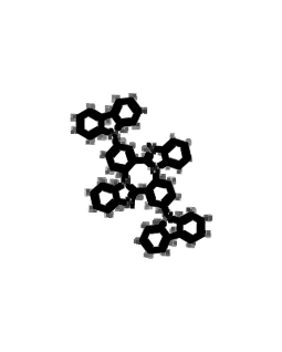 c1ccc2c(c1)nc1c3cc(-n4c5ccccc5c5ccccc54)ccc3n3c4ccccc4nc3c3cc(-n4c5ccccc5c5ccccc54)ccc3n21